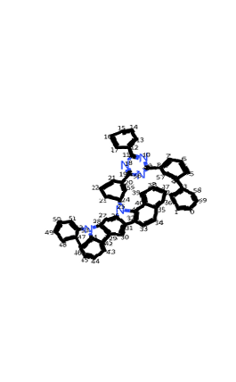 c1ccc(-c2cccc(-c3nc(-c4ccccc4)nc(-c4cccc(-n5c6cc7c(cc6c6ccc8ccccc8c65)c5cccc6c8ccccc8n7c65)c4)n3)c2)cc1